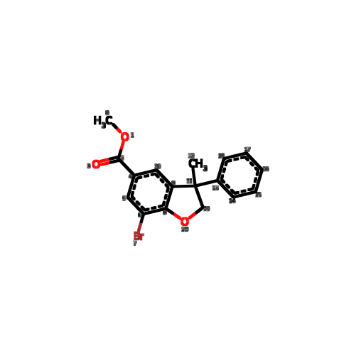 COC(=O)c1cc(Br)c2c(c1)C(C)(c1ccccc1)CO2